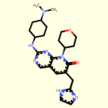 CN(C)C1CCC(Nc2ncc3cc(Cc4ncc[nH]4)c(=O)n(C4CCOCC4)c3n2)CC1